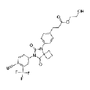 N#Cc1ccc(N2C(=O)N(c3ccc(CCC(=O)OCCO)cc3)C3(CCC3)C2=O)cc1C(F)(F)F